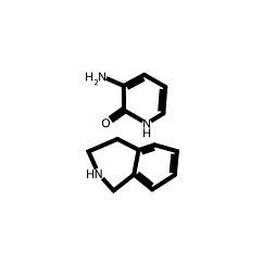 Nc1ccc[nH]c1=O.c1ccc2c(c1)CCNC2